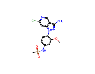 COc1cc(NS(C)(=O)=O)ccc1-n1nc(N)c2cnc(Cl)cc21